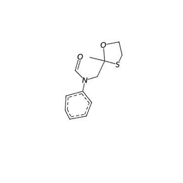 CC1(CN(C=O)c2ccccc2)OCCS1